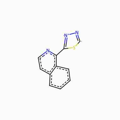 [C]1=N[N+]=C(c2nccc3ccccc23)S1